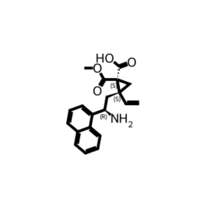 C=C[C@@]1(C[C@@H](N)c2cccc3ccccc23)C[C@]1(C(=O)O)C(=O)OC